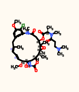 COc1cc2cc(c1Cl)N(C)C(=O)C[C@@H](OC(=O)[C@H](C)N(C)C(=O)CCN(C)C)[C@]1(C)O[C@H]1[C@H](C)[C@@H]1C[C@@](O)(NC(=O)O1)[C@H](OC)/C=C/C=C(\C)C2